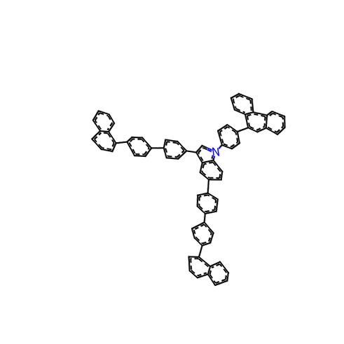 c1ccc2c(-c3ccc(-c4ccc(-c5ccc6c(c5)c(-c5ccc(-c7ccc(-c8cccc9ccccc89)cc7)cc5)cn6-c5ccc(-c6cc7ccccc7c7ccccc67)cc5)cc4)cc3)cccc2c1